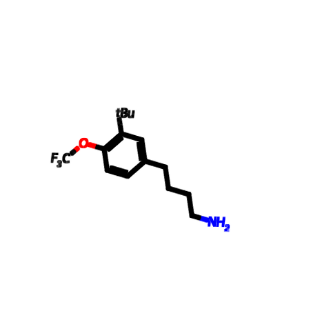 CC(C)(C)c1cc(CCCCN)ccc1OC(F)(F)F